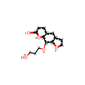 O=c1ccc2cc3ccoc3c(OCCCO)c2o1